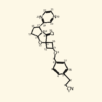 N#CCCc1ccc(COC2CC3(C2)OC2CC[C@@H](c4cnccn4)N2C3=O)cc1